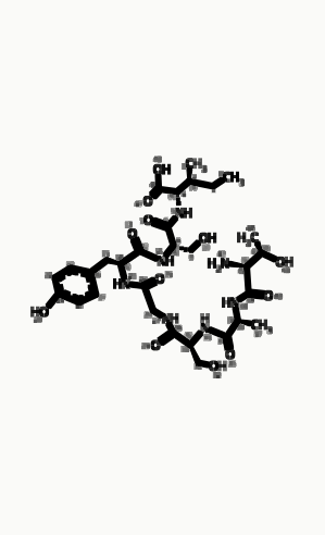 CC[C@H](C)[C@H](NC(=O)[C@H](CO)NC(=O)[C@H](Cc1ccc(O)cc1)NC(=O)CNC(=O)[C@H](CO)NC(=O)[C@H](C)NC(=O)[C@@H](N)[C@@H](C)O)C(=O)O